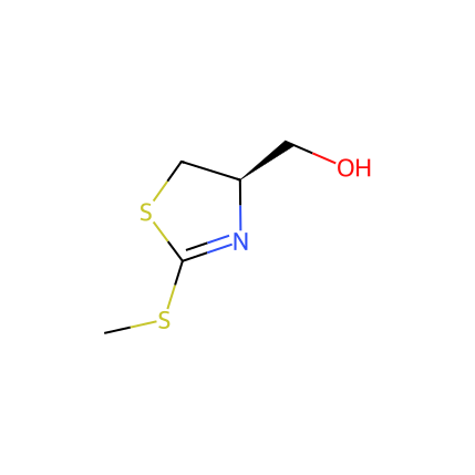 CSC1=N[C@H](CO)CS1